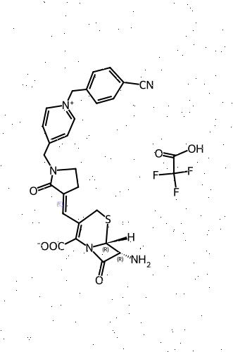 N#Cc1ccc(C[n+]2ccc(CN3CC/C(=C\C4=C(C(=O)[O-])N5C(=O)[C@@H](N)[C@H]5SC4)C3=O)cc2)cc1.O=C(O)C(F)(F)F